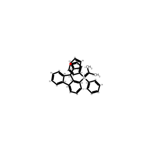 C[C](C)=[Zr]([c]1ccccc1)([c]1ccccc1)[c]1cccc2c1C(C1=CC=CC1)c1ccccc1-2